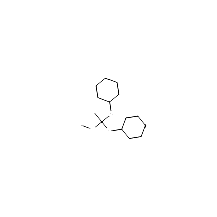 CC(NC1CCCCC1)(NC1CCCCC1)O[SiH3]